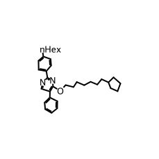 CCCCCCc1ccc(-c2ncc(-c3ccccc3)c(OCCCCCCCC3CCCC3)n2)cc1